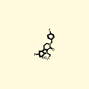 O=C(O)Cn1c2c(c3cc(F)ccc31)CCN(Cc1ccc(F)cc1)C2=O